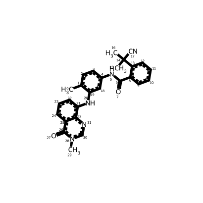 Cc1ccc(NC(=O)c2ccccc2C(C)(C)C#N)cc1Nc1cccc2c(=O)n(C)cnc12